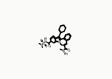 CC(C)N(C)C(=O)C1=Cc2ccccc2-c2c(C3CCCCC3)c3ccc(C(=O)NS(=O)(=O)N(C)C)cc3n2C1